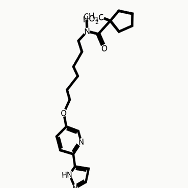 CN(CCCCCCOc1ccc(-c2ccn[nH]2)nc1)C(=O)C1(C(=O)O)CCCC1